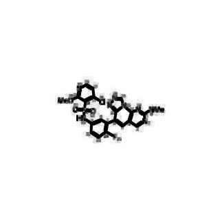 CNc1ncc2cc(-c3cc(NS(=O)(=O)c4c(Cl)ccnc4OC)ccc3F)c3nncn3c2n1